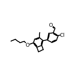 CCCCOc1cc(C)c(-c2ccc(Cl)c(C=O)c2)c2c1CC2